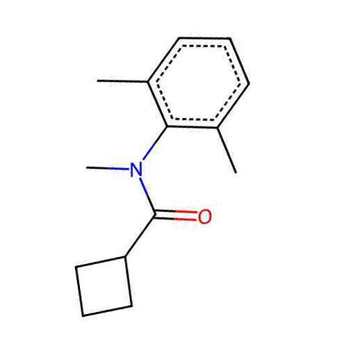 Cc1cccc(C)c1N(C)C(=O)C1CCC1